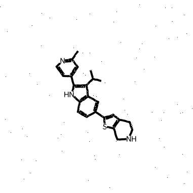 Cc1cc(-c2[nH]c3ccc(-c4cc5c(s4)CNCC5)cc3c2C(C)C)ccn1